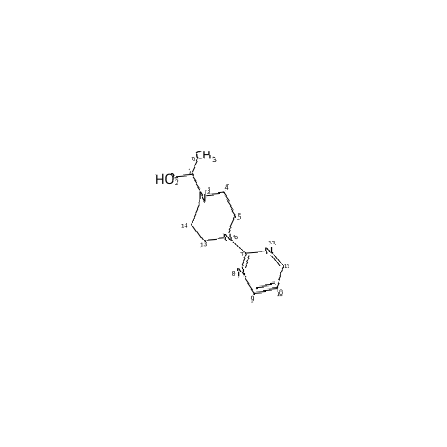 CC(O)N1CCN(c2ncccn2)CC1